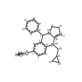 COc1ccc2c(c1)C(c1ccccc1)N1CCN=C1N2CC1CC1.Cl